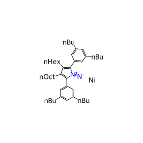 CCCCCCCCC1=C(c2cc(CCCC)cc(CCCC)c2)[N+](=[N-])C(c2cc(CCCC)cc(CCCC)c2)=C1CCCCCC.[Ni]